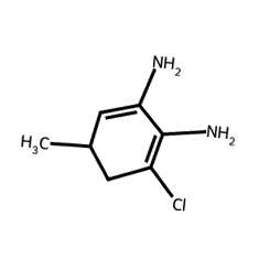 CC1C=C(N)C(N)=C(Cl)C1